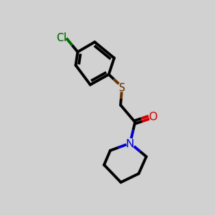 O=C(CSc1ccc(Cl)cc1)N1CCCCC1